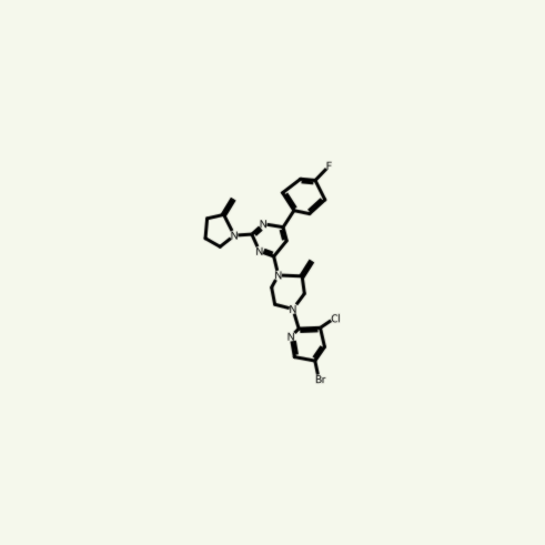 C=C1CN(c2ncc(Br)cc2Cl)CCN1c1cc(-c2ccc(F)cc2)nc(N2CCCC2=C)n1